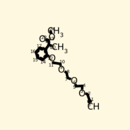 C#CCOCCOCCOCCOc1ccccc1C(C)C(=O)OC